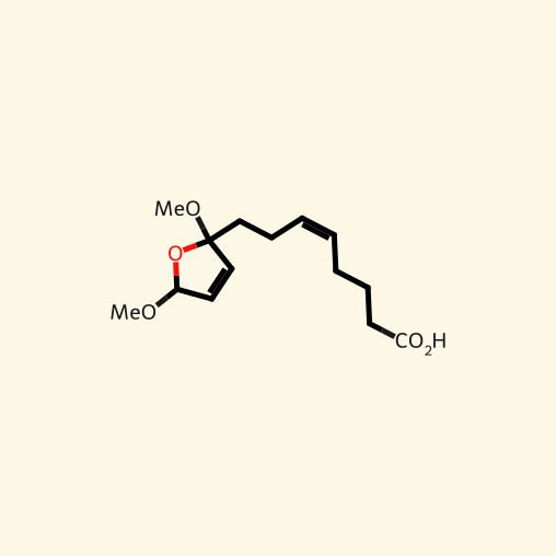 COC1C=CC(CC/C=C\CCCC(=O)O)(OC)O1